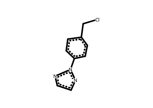 ClCc1ccc(-n2nccn2)cc1